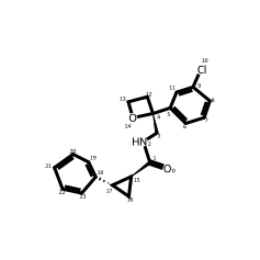 O=C(NC[C@]1(c2cccc(Cl)c2)CCO1)[C@H]1C[C@@H]1c1ccccc1